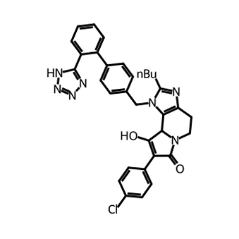 CCCCc1nc2c(n1Cc1ccc(-c3ccccc3-c3nnn[nH]3)cc1)C1C(O)=C(c3ccc(Cl)cc3)C(=O)N1CC2